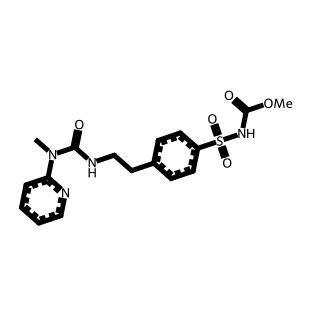 COC(=O)NS(=O)(=O)c1ccc(CCNC(=O)N(C)c2ccccn2)cc1